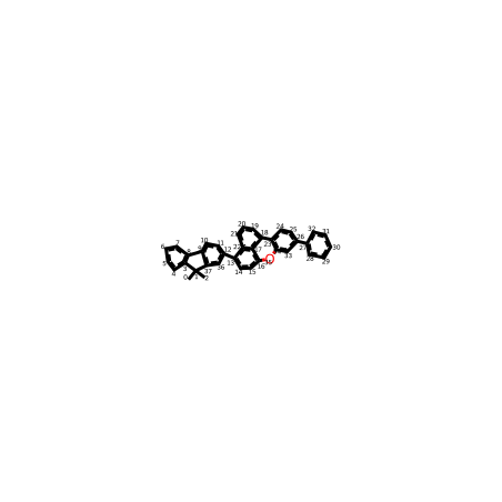 CC1(C)c2ccccc2-c2ccc(-c3ccc4c5c(cccc35)-c3ccc(-c5ccccc5)cc3O4)cc21